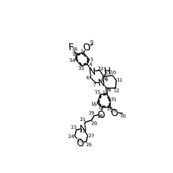 COc1cc(N2CCN3[C@@H](CCC[C@@H]3c3ccc(OCCCN4CCOCC4)c(OC)c3)C2)ccc1F